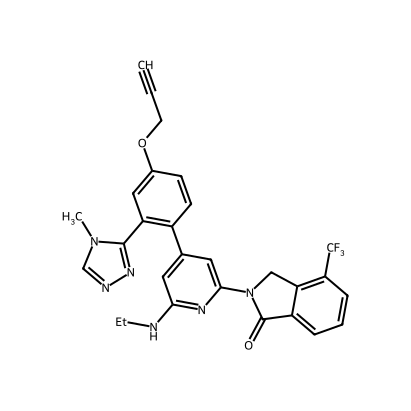 C#CCOc1ccc(-c2cc(NCC)nc(N3Cc4c(cccc4C(F)(F)F)C3=O)c2)c(-c2nncn2C)c1